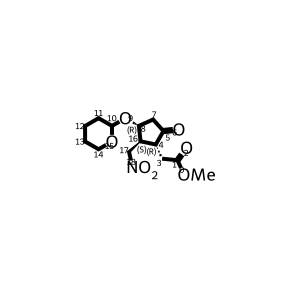 COC(=O)C[C@H]1C(=O)C[C@@H](OC2CCCCO2)[C@@H]1C[N+](=O)[O-]